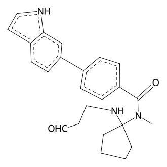 CN(C(=O)c1ccc(-c2ccc3cc[nH]c3c2)cc1)C1(NCCC=O)CCCC1